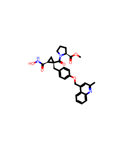 COC(=O)[C@@H]1CCCN1C(=O)[C@@]1(Cc2ccc(OCc3cc(C)nc4ccccc34)cc2)C[C@@H]1C(=O)NO